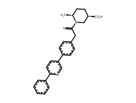 C[C@H]1CC[C@@H](C(=O)O)CN1C(=O)Cc1ccc(-c2ccc(-c3ccccc3)nc2)cc1